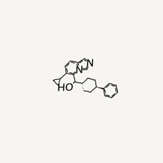 O[C@@H](c1c(C2CC2)ccc2cncn12)[C@H]1CC[C@H](c2ccccc2)CC1